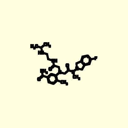 Cc1ccc(C(N)=O)cc1N(CC(=O)NCCNC(C)C)CC(=O)N(C)N1Cc2ccc(F)cc2C1